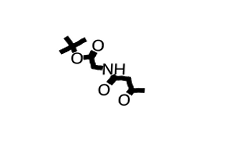 CC(=O)CC(=O)NCC(=O)OC(C)(C)C